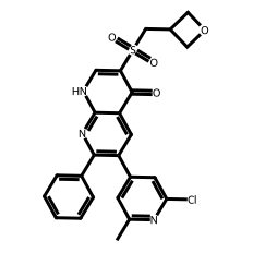 Cc1cc(-c2cc3c(=O)c(S(=O)(=O)CC4COC4)c[nH]c3nc2-c2ccccc2)cc(Cl)n1